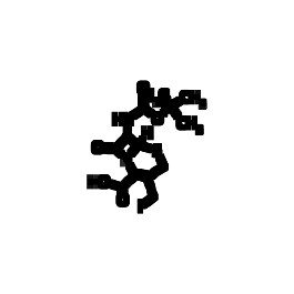 C[Si](C)(C)OC(=O)NC1C(=O)N2C(C(=O)O)=C(CI)CS[C@@H]12